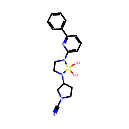 N#CN1CC[C@H](N2CCN(c3cccc(-c4ccccc4)n3)S2(O)O)C1